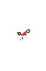 CCN(CC)CCNC(=O)c1ccc(N2[C@@H]3CC[C@H]2C[C@@H](NC(=O)C(C)(C)Oc2ccc(Cl)cc2Cl)C3)nc1